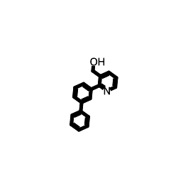 OCc1cccnc1-c1cccc(-c2ccccc2)c1